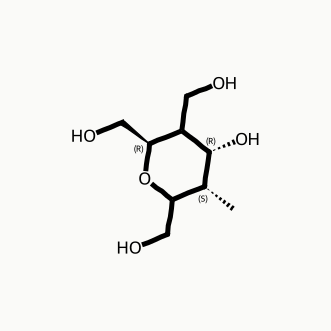 C[C@@H]1C(CO)O[C@@H](CO)C(CO)[C@@H]1O